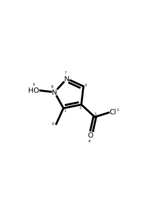 Cc1c(C(=O)Cl)cnn1O